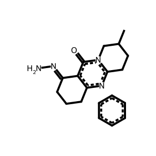 CC1CCc2nc3c(c(=O)n2C1)C(=NN)CCC3.c1ccccc1